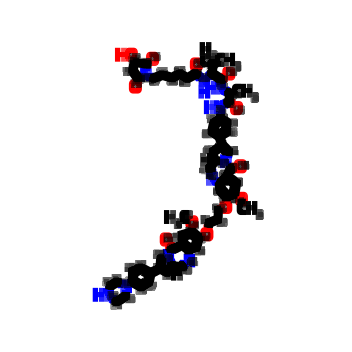 COc1cc2c(cc1OCCCOc1cc3c(cc1OC)C(=O)N1C=C(c4ccc(N5CCNCC5)cc4)C[C@H]1C=N3)N=C[C@@H]1CC(c3ccc(NC(=O)[C@H](C)NC(=O)C(NC(=O)CCCCCN4C(=O)CC(O)C4=O)C(C)C)cc3)=CN1C2=O